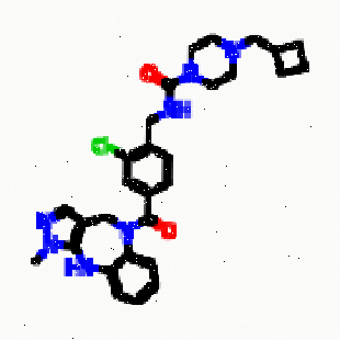 Cn1ncc2c1Nc1ccccc1N(C(=O)c1ccc(CNC(=O)N3CCN(CC4CCC4)CC3)c(Cl)c1)C2